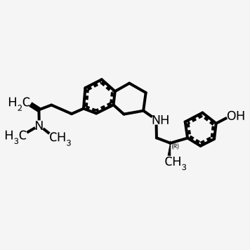 C=C(CCc1ccc2c(c1)CC(NC[C@H](C)c1ccc(O)cc1)CC2)N(C)C